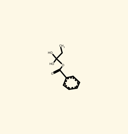 CCC(O)(O)OC(=O)c1ccccc1